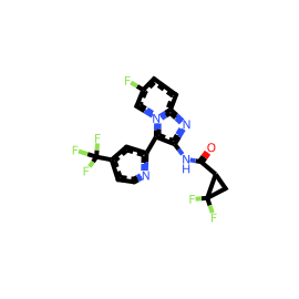 O=C(Nc1nc2ccc(F)cn2c1-c1cc(C(F)(F)F)ccn1)C1CC1(F)F